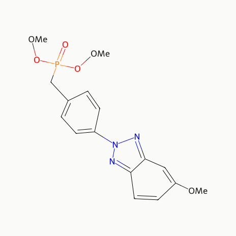 COOP(=O)(Cc1ccc(-n2nc3ccc(OC)cc3n2)cc1)OOC